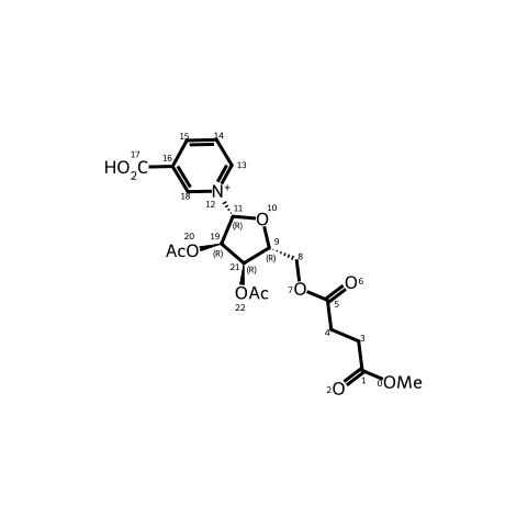 COC(=O)CCC(=O)OC[C@H]1O[C@@H]([n+]2cccc(C(=O)O)c2)[C@H](OC(C)=O)[C@@H]1OC(C)=O